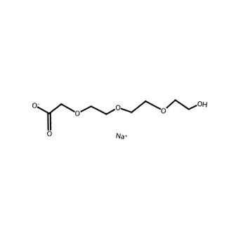 O=C([O-])COCCOCCOCCO.[Na+]